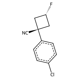 N#C[C@]1(c2ccc(Cl)cc2)C[C@@H](F)C1